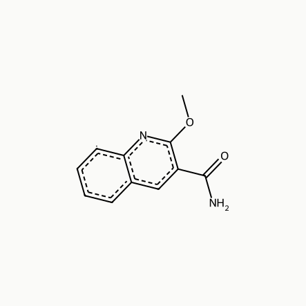 COc1nc2[c]cccc2cc1C(N)=O